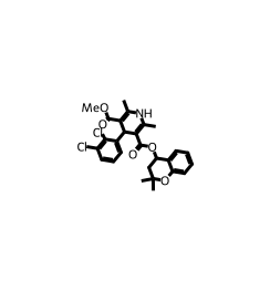 COC(=O)C1=C(C)NC(C)=C(C(=O)OC2CC(C)(C)Oc3ccccc32)C1c1cccc(Cl)c1Cl